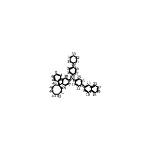 c1ccc(C2(c3ccc(N(c4ccc(-c5ccc6ccccc6c5)cc4)c4ccc(C5CCCCC5)cc4)cc3)CCCCCCC2)cc1